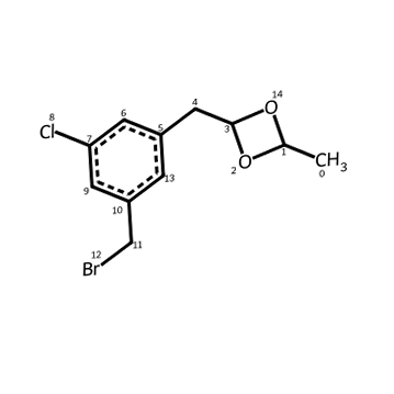 CC1OC(Cc2cc(Cl)cc(CBr)c2)O1